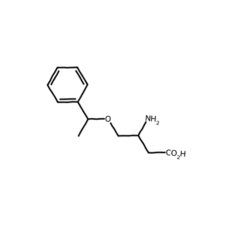 CC(OCC(N)CC(=O)O)c1ccccc1